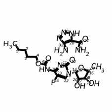 CCCCCOC(=O)Nc1nc(=O)n([C@@H]2O[C@H](C)[C@@H](O)[C@H]2O)cc1F.NC(=O)c1[nH]nnc1N